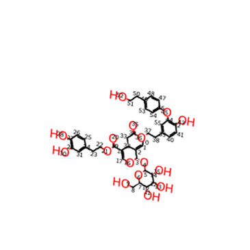 C/C=C1/[C@H](O[C@@H]2O[C@H](CO)[C@@H](O)[C@H](O)[C@H]2O)OC=C(C(=O)OCCc2ccc(O)c(O)c2)[C@H]1CC(=O)OCCc1ccc(O)c(Oc2ccc(CCO)cc2)c1